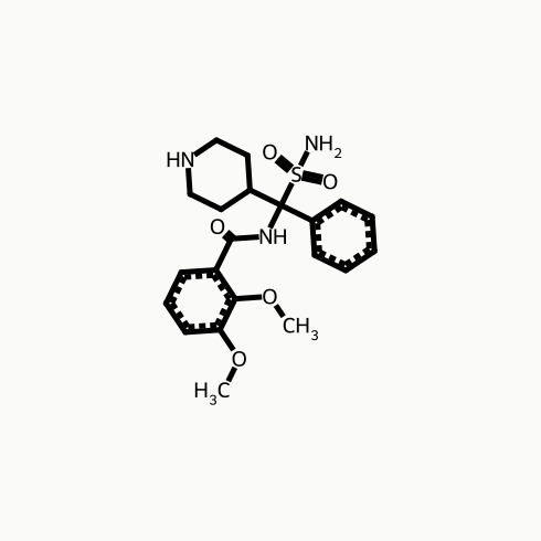 COc1cccc(C(=O)NC(c2ccccc2)(C2CCNCC2)S(N)(=O)=O)c1OC